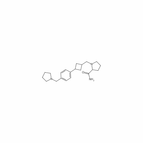 NC(=O)C1CCCN1CC1CC(c2ccc(CN3CCCC3)cc2)C1